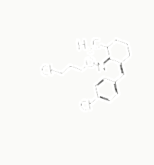 CC1CCCC(=Cc2ccc(Cl)cc2)C1=NOCCCCl